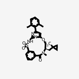 Cc1cccc(C)c1-c1cc2nc(n1)NS(=O)(=O)c1cccc(c1)C(=O)N(C)[C@H](CC1(C(F)(F)F)CC1)CO2